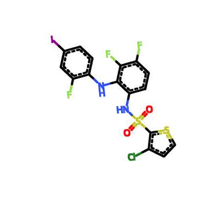 O=S(=O)(Nc1ccc(F)c(F)c1Nc1ccc(I)cc1F)c1sccc1Cl